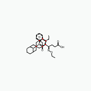 CCO/N=C(\CCC(=O)O)c1nc2ccccc2n(C2CC3CCCC(C2)N3C2CC3C[C@H](CC)C[C@@H](C3)C2)c1=O